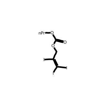 CCCOC(=O)OCC(I)=C(I)I